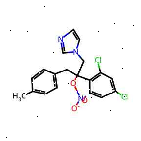 Cc1ccc(CC(Cn2ccnc2)(O[N+](=O)[O-])c2ccc(Cl)cc2Cl)cc1